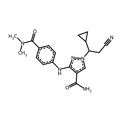 CN(C)C(=O)c1ccc(Nc2nn(C(CC#N)C3CC3)cc2C(N)=O)cc1